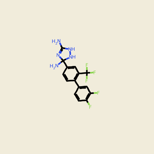 NC1=NC(N)(c2ccc(-c3ccc(F)c(F)c3)c(C(F)(F)F)c2)NN1